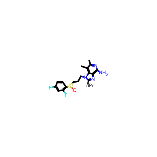 CCCc1nc2c(N)nc(C)c(C)c2n1CCC[S+]([O-])c1ccc(F)cc1F